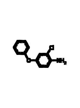 Nc1ccc(Oc2ccccc2)cc1Cl